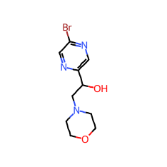 OC(CN1CCOCC1)c1cnc(Br)cn1